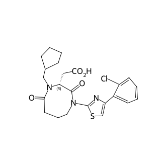 O=C(O)C[C@@H]1C(=O)N(c2nc(-c3ccccc3Cl)cs2)CCCC(=O)N1CC1CCCC1